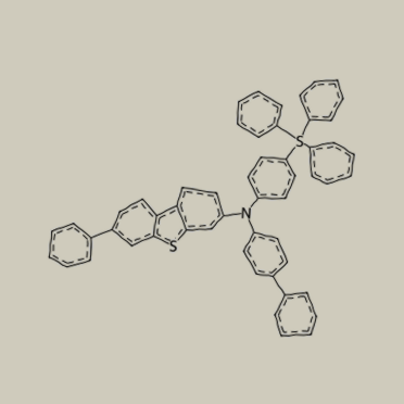 c1ccc(-c2ccc(N(c3ccc(S(c4ccccc4)(c4ccccc4)c4ccccc4)cc3)c3ccc4c(c3)sc3cc(-c5ccccc5)ccc34)cc2)cc1